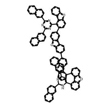 c1ccc2cc(C3=NC(c4ccc5ccccc5c4)NC(c4cccc5oc6cccc(-c7cccc8oc9cc(-c%10ccc%11c(c%10)oc%10ccc(-c%12ccc%13oc%14ccccc%14c%13c%12-c%12nc(-c%13ccc%14ccccc%14c%13)nc(-c%13ccc%14ccccc%14c%13)n%12)cc%10%11)ccc9c78)c6c45)=N3)ccc2c1